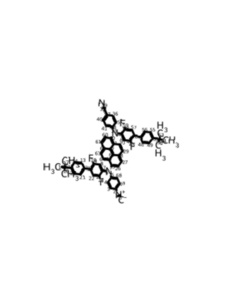 [C-]#[N+]c1ccc(N(c2cc(F)c(-c3ccc(C(C)(C)C)cc3)cc2F)c2ccc3ccc4c(N(c5ccc(C#N)cc5)c5cc(F)c(-c6ccc(C(C)(C)C)cc6)cc5F)ccc5ccc2c3c54)cc1